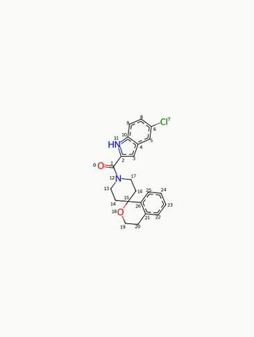 O=C(c1cc2cc(Cl)ccc2[nH]1)N1CCC2(CC1)OCCc1ccccc12